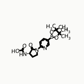 CC1(C)OB(c2ccc(N3CC[C@H](NC(=O)O)C3=O)nc2)OC1(C)C